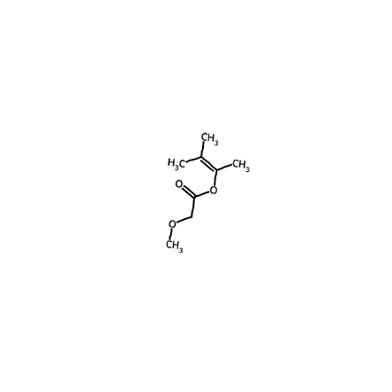 COCC(=O)OC(C)=C(C)C